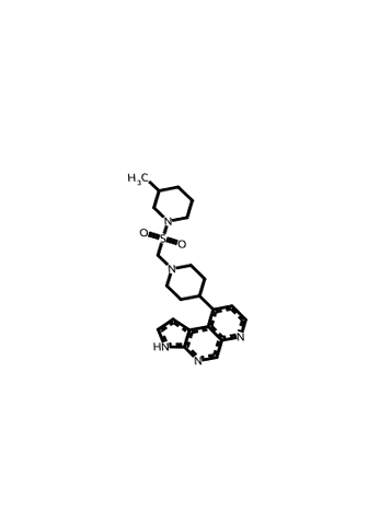 CC1CCCN(S(=O)(=O)CN2CCC(c3ccnc4cnc5[nH]ccc5c34)CC2)C1